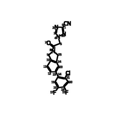 N#Cc1ncn(CC(=O)N2Cc3ccc(-c4cc(F)c(F)cc4Cl)cc3C2)n1